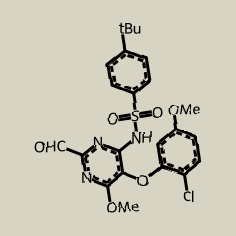 COc1ccc(Cl)c(Oc2c(NS(=O)(=O)c3ccc(C(C)(C)C)cc3)nc(C=O)nc2OC)c1